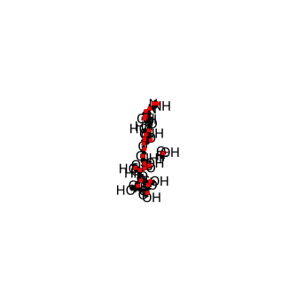 Cc1cc(OCCCC(=O)NCCCC(CC(CS(=O)(=O)O)NC(=O)CN2CCN(CC(=O)O)CCN(CC(=O)O)CCN(CC(=O)O)CC2)CS(=O)(=O)O)cc(C)c1S(=O)(=O)N[C@@H](CNC(=O)C1CC(=O)c2ccc(CNc3ncc[nH]3)cc2N1C)C(=O)O.O=C(O)C(F)(F)F